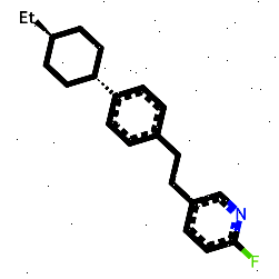 CC[C@H]1CC[C@H](c2ccc(CCc3ccc(F)nc3)cc2)CC1